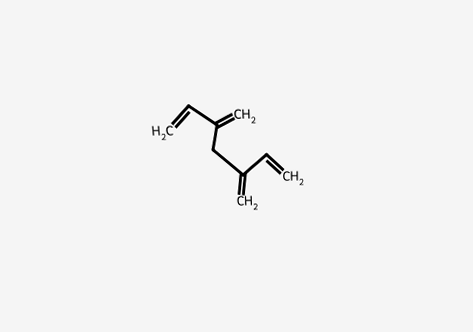 C=CC(=C)CC(=C)C=C